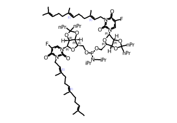 CCCC1(CCC)O[C@@H]2[C@H](O1)[C@@H](COP(OC[C@H]1O[C@@H](n3cc(F)c(=O)n(C/C=C(\C)CC/C=C(\C)CCC=C(C)C)c3=O)[C@@H]3OC(CCC)(CCC)O[C@@H]31)N(C(C)C)C(C)C)O[C@H]2n1cc(F)c(=O)n(C/C=C(\C)CC/C=C(\C)CCC=C(C)C)c1=O